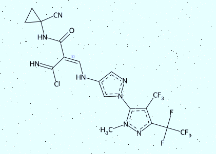 Cn1nc(C(F)(F)C(F)(F)F)c(C(F)(F)F)c1-n1cc(N/C=C(\C(=N)Cl)C(=O)NC2(C#N)CC2)cn1